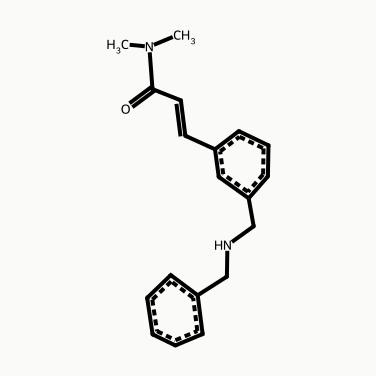 CN(C)C(=O)C=Cc1cccc(CNCc2ccccc2)c1